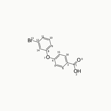 O=C(O)c1ccc(Oc2cccc(Br)c2)cc1